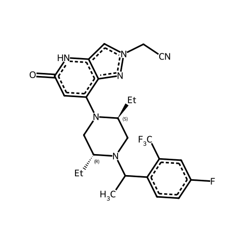 CC[C@H]1CN(C(C)c2ccc(F)cc2C(F)(F)F)[C@H](CC)CN1c1cc(=O)[nH]c2cn(CC#N)nc12